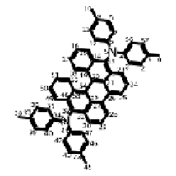 Cc1ccc(N(c2ccc(C)cc2)c2c3ccccc3c3c4c2cccc4c2cccc4c(N(c5ccc(C)cc5)c5ccc(C)cc5)c5ccccc5c3c42)cc1